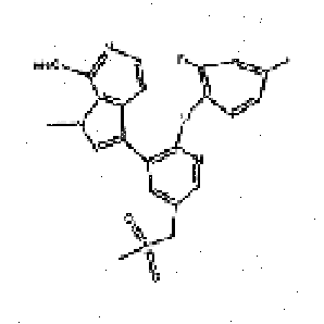 COc1nccc2c(-c3cc(CS(C)(=O)=O)cnc3Oc3ccc(F)cc3F)cn(C)c12